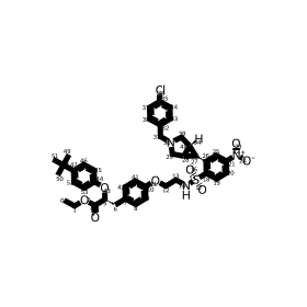 CCOC(=O)[C@@H](Cc1ccc(OCCNS(=O)(=O)c2ccc([N+](=O)[O-])cc2[C@@H]2C3CN(Cc4ccc(Cl)cc4)C[C@H]32)cc1)Oc1ccc(C(C)(C)C)cc1